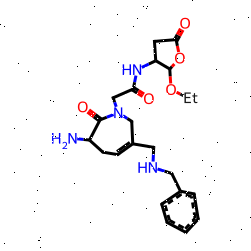 CCOC1OC(=O)CC1NC(=O)CN1CC(CNCc2ccccc2)=CCC(N)C1=O